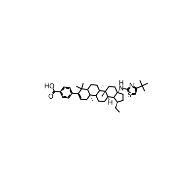 CC[C@@H]1CC[C@]2(Nc3nc(C(C)(C)C)cs3)CC[C@]3(C)[C@H](CCC4[C@@]5(C)CC=C(c6ccc(C(=O)O)cc6)C(C)(C)C5CC[C@]43C)C12